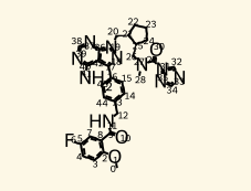 COc1ccc(F)cc1C(=O)NCc1ccc(-c2nn(C[C@H]3CCC[C@H]3CN(C)C(=O)n3cncn3)c3ncnc(N)c23)cc1